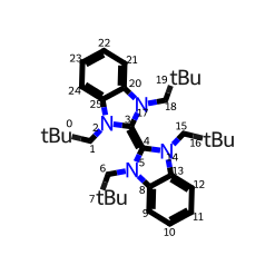 CC(C)(C)CN1C(=C2N(CC(C)(C)C)c3ccccc3N2CC(C)(C)C)N(CC(C)(C)C)c2ccccc21